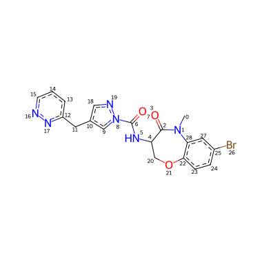 CN1C(=O)C(NC(=O)n2cc(Cc3cccnn3)cn2)COc2ccc(Br)cc21